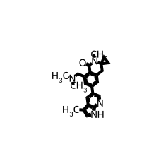 Cc1c[nH]c2ncc(-c3cc(CN(C)C)c4c(c3)CC3(CC3)N(C)C4=O)cc12